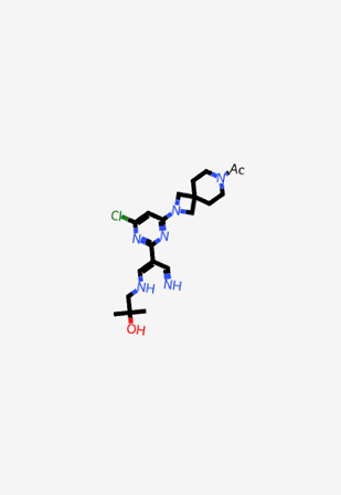 CC(=O)N1CCC2(CC1)CN(c1cc(Cl)nc(/C(C=N)=C/NCC(C)(C)O)n1)C2